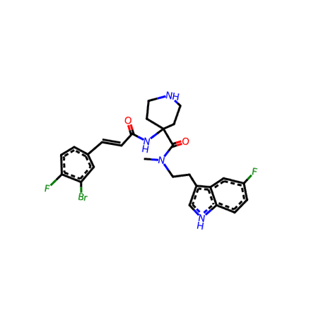 CN(CCc1c[nH]c2ccc(F)cc12)C(=O)C1(NC(=O)C=Cc2ccc(F)c(Br)c2)CCNCC1